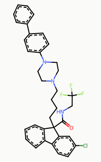 O=C(NCC(F)(F)F)C1(CCCCN2CCN(c3ccc(-c4ccccc4)cc3)CC2)c2ccccc2-c2ccc(Cl)cc21